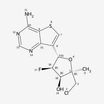 C[C@@]1(CCl)O[C@@H](c2csc3c(N)ncnc23)[C@H](F)[C@@H]1O